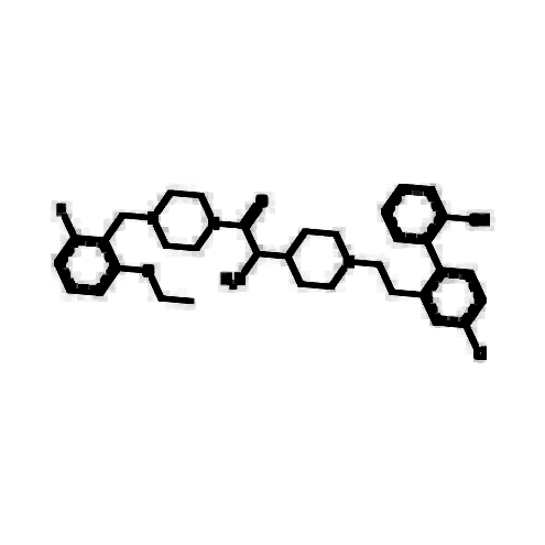 CCOc1cccc(F)c1CN1CCN(C(=O)C(N)C2CCN(CCc3cc(Cl)ccc3-c3ccccc3O)CC2)CC1